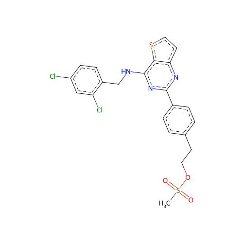 CS(=O)(=O)OCCc1ccc(-c2nc(NCc3ccc(Cl)cc3Cl)c3sccc3n2)cc1